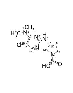 CN(C)c1nc(N[C@@H]2CCN(C(=O)O)C2)ncc1Cl